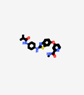 CNC(=O)c1cc(Oc2ccc3nc(N[C@H]4CC[C@@H](NC(=O)C(C)C)CC4)sc3c2)ccn1